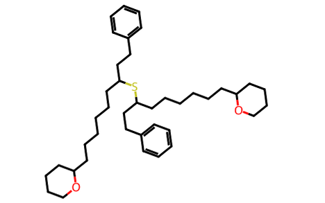 c1ccc(CCC(CCCCCCC2CCCCO2)SC(CCCCCCC2CCCCO2)CCc2ccccc2)cc1